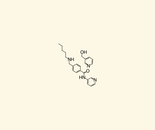 CCCCCNCc1ccc(C(=O)Nc2cccnc2)cc1.OCc1cccnc1